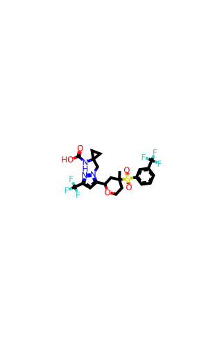 CC1(S(=O)(=O)c2cccc(C(F)(F)F)c2)CCOC(c2cc(C(F)(F)F)nn2CC2(NC(=O)O)CC2)C1